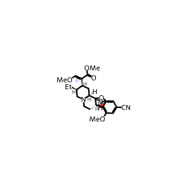 CC[C@@H]1CN2CC[C@@]34OCCO[C@@]3(Nc3cc(C#N)cc(OC)c34)[C@@H]2C[C@@H]1/C(=C\OC)C(=O)OC